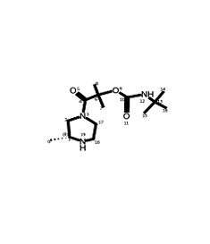 C[C@@H]1CN(C(=O)C(C)(C)OC(=O)NC(C)(C)C)CCN1